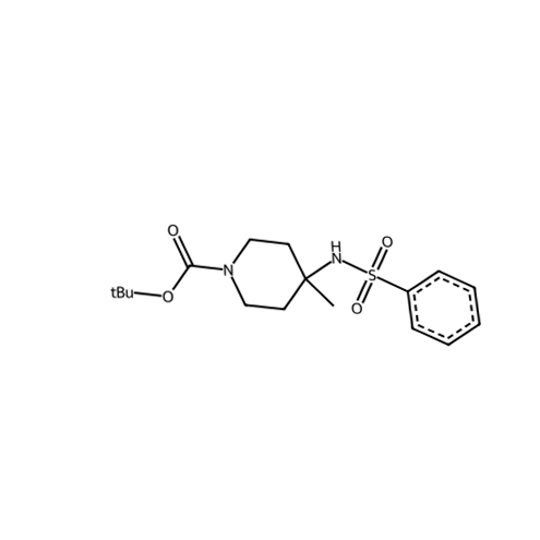 CC1(NS(=O)(=O)c2ccccc2)CCN(C(=O)OC(C)(C)C)CC1